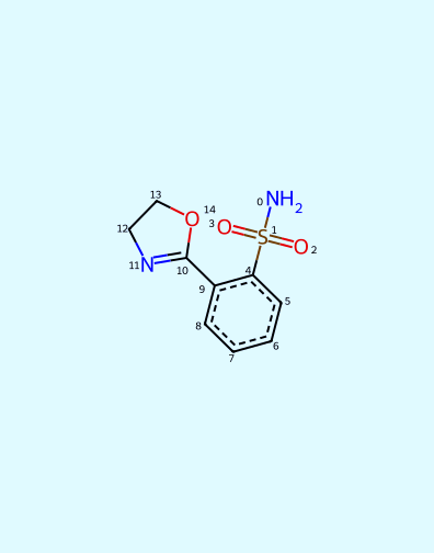 NS(=O)(=O)c1ccccc1C1=NCCO1